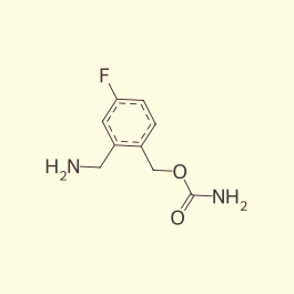 NCc1cc(F)ccc1COC(N)=O